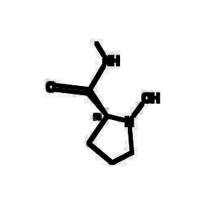 CNC(=O)[C@@H]1CCCN1O